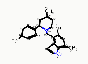 Cc1cc(C)c2[nH]ccc2c1CN1CCC(C)CC1C1=CCC(C)C=C1